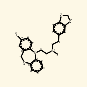 CN(CCc1ccc2c(c1)OCO2)CCN1c2ccc(F)cc2COc2ccccc21